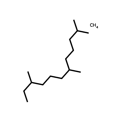 C.CCC(C)CCCC(C)CCCC(C)C